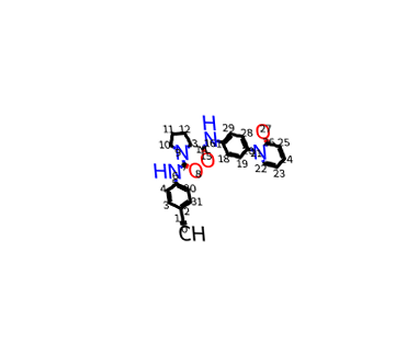 C#Cc1ccc(NC(=O)N2CCC[C@@H]2C(=O)Nc2ccc(-n3ccccc3=O)cc2)cc1